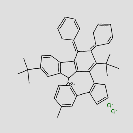 Cc1cccc(C2=C(c3c4c(c(=C5C=CC=CC5)c(=C5C=CC=CC5)c3C(C)(C)C)-c3ccc(C(C)(C)C)cc3[CH]4[Zr+2])CC=C2)c1.[Cl-].[Cl-]